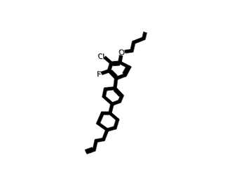 C=CCCC1CCC(C2CC=C(c3ccc(OCCCC)c(Cl)c3F)CC2)CC1